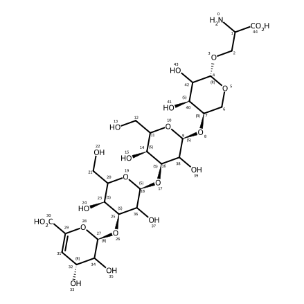 NC(CO[C@@H]1OC[C@@H](O[C@@H]2OC(CO)[C@H](O)[C@H](O[C@@H]3OC(CO)[C@H](O)[C@H](O[C@@H]4OC(C(=O)O)=C[C@@H](O)C4O)C3O)C2O)[C@@H](O)C1O)C(=O)O